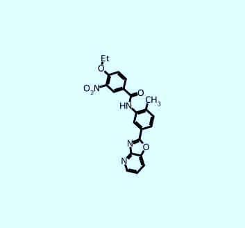 CCOc1ccc(C(=O)Nc2cc(-c3nc4ncccc4o3)ccc2C)cc1[N+](=O)[O-]